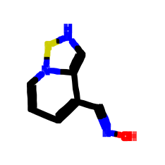 ON=CC1=CC=CN2SNC=C12